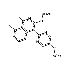 CCCCCCCCOc1cnc(-c2c(OCCCCCCCC)nc(F)c3c(F)cccc23)nc1